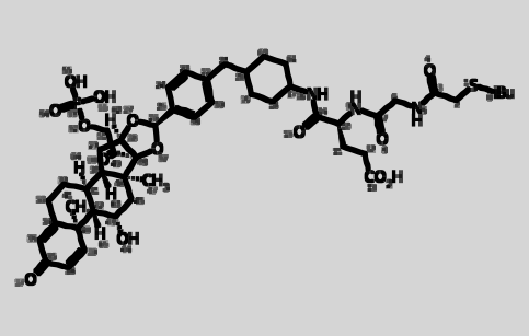 CCC(C)SCC(=O)NCC(=O)N[C@@H](CCC(=O)O)C(=O)NC1CCC(Cc2ccc([C@@H]3O[C@@H]4C[C@H]5[C@@H]6CCC7=CC(=O)C=C[C@]7(C)[C@H]6[C@@H](O)C[C@]5(C)[C@]4(C(=O)COP(=O)(O)O)O3)cc2)CC1